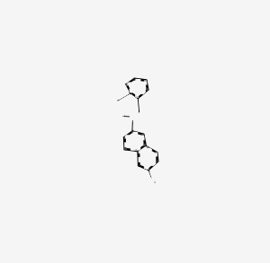 [O-][S+](Cc1ccccc1Cl)c1ccc2cc(Br)ccc2c1